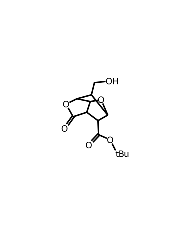 CC(C)(C)OC(=O)C1C2OC3C(OC(=O)C31)C2CO